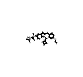 CCOc1ccc(Cc2cc3cc(N(C)C(=O)NC(C)C)cnc3n2CC2CCC2)cc1